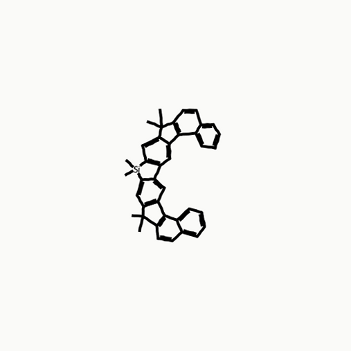 CC1(C)c2cc3c(cc2-c2c1ccc1ccccc21)-c1cc2c(cc1[Si]3(C)C)C(C)(C)c1ccc3ccccc3c1-2